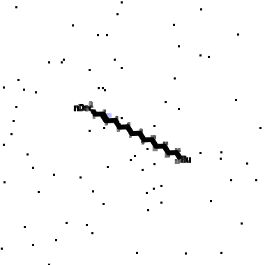 [CH2]CCCCCCCCCC/C=C/CCCCCCCCCCCC(C)C[CH2]